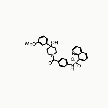 COc1cccc(C2(O)CCN(C(=O)c3ccc(NS(=O)(=O)c4cccc5cccnc45)cc3)CC2)c1